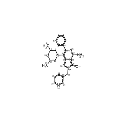 CC1CN(c2c(-c3ccccc3)nc(N)n3c(=O)n(Cc4cccnn4)nc23)CC(C)O1